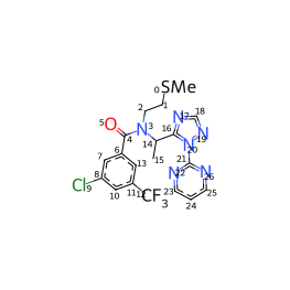 CSCCN(C(=O)c1cc(Cl)cc(C(F)(F)F)c1)C(C)c1ncnn1-c1ncccn1